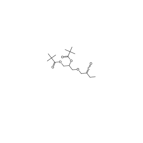 CCC(=C=O)COCC(COC(=O)C(C)(C)C)OC(=O)C(C)(C)C